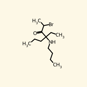 CCCCNC(CC)(CCC)C(=O)C(C)Br